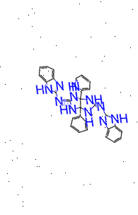 c1ccc(C23N/C(=N/c4nc5ccccc5[nH]4)NC2(c2ccccn2)N/C(=N/c2nc4ccccc4[nH]2)N3)cc1